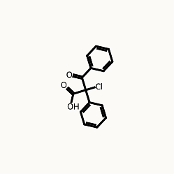 O=C(O)C(Cl)(C(=O)c1ccccc1)c1ccccc1